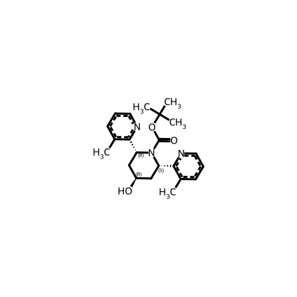 Cc1cccnc1[C@H]1C[C@H](O)C[C@@H](c2ncccc2C)N1C(=O)OC(C)(C)C